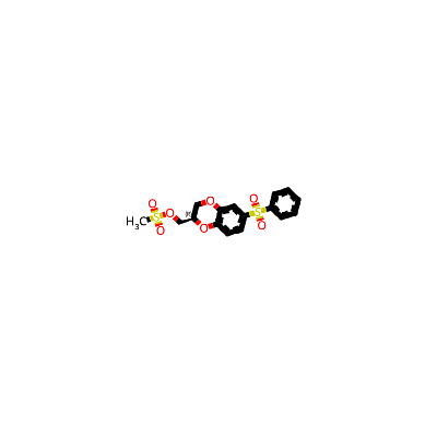 CS(=O)(=O)OC[C@H]1COc2cc(S(=O)(=O)c3ccccc3)ccc2O1